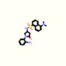 CN(C)c1cccc2c(S(=O)(=O)NC3CC(=O)N(c4ccccc4N)C3)cccc12